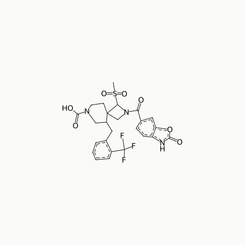 CS(=O)(=O)C1N(C(=O)c2ccc3[nH]c(=O)oc3c2)CC12CCN(C(=O)O)CC2Cc1ccccc1C(F)(F)F